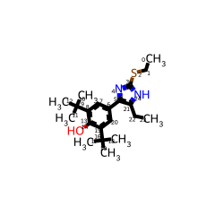 CCSc1nc(-c2cc(C(C)(C)C)c(O)c(C(C)(C)C)c2)c(CC)[nH]1